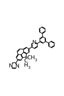 CC1(C)c2cc(-c3ccc(-c4cc(-c5ccccc5)cc(-c5ccccc5)c4)nc3)cc3ccc4cc(-c5cnccn5)cc1c4c23